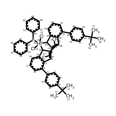 CCC1=Cc2c(-c3ccc(C(C)(C)C)cc3)cccc2[CH]1[Hf]([Cl])([Cl])([CH]1C(CC)=Cc2c(-c3ccc(C(C)(C)C)cc3)cccc21)[P](c1ccccc1)c1ccccc1